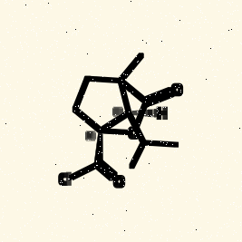 CC(C)[C@@H]1C2(C)CC[C@@]1(C(=O)Cl)OC2=O